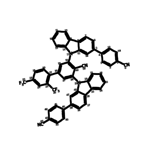 N#Cc1ccc(-c2ccc3c4ccccc4n(-c4cc(-c5ccc(C(F)(F)F)cc5C(F)(F)F)cc(-n5c6ccccc6c6ccc(-c7ccc(C#N)cc7)cc65)c4C#N)c3c2)cc1